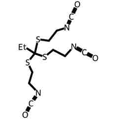 CCC(SCCN=C=O)(SCCN=C=O)SCCN=C=O